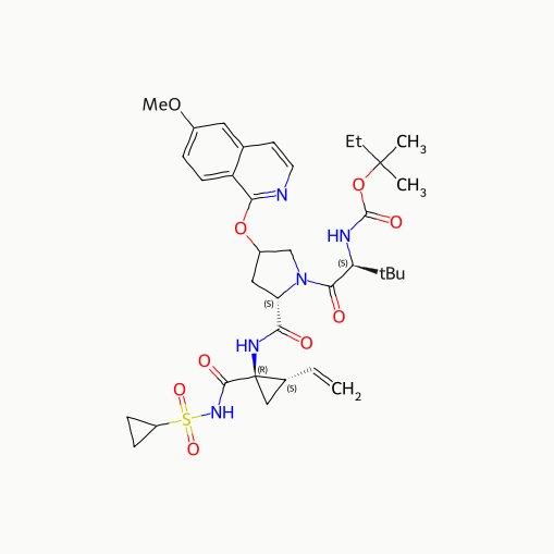 C=C[C@@H]1C[C@]1(NC(=O)[C@@H]1CC(Oc2nccc3cc(OC)ccc23)CN1C(=O)[C@@H](NC(=O)OC(C)(C)CC)C(C)(C)C)C(=O)NS(=O)(=O)C1CC1